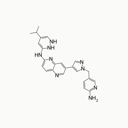 CC(C)C1=CNNC(Nc2ccc3ncc(-c4cnn(Cc5ccc(N)nc5)c4)cc3n2)=C1